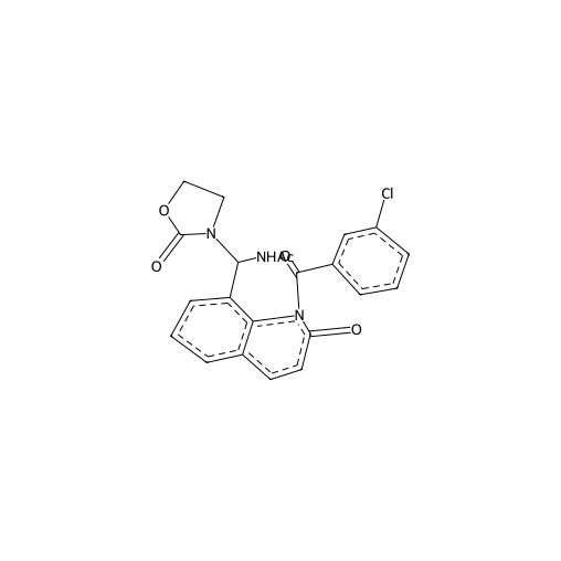 CC(=O)NC(c1cccc2ccc(=O)n(C(=O)c3cccc(Cl)c3)c12)N1CCOC1=O